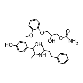 CC(CCc1ccccc1)NC(C)C(O)c1ccc(O)cc1.COc1ccccc1OCC(O)COC(N)=O